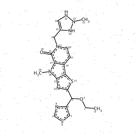 CCOC(c1cscn1)c1nc2c(s1)c1cnn(CC3=CNN(C)N3)c(=O)c1n2C